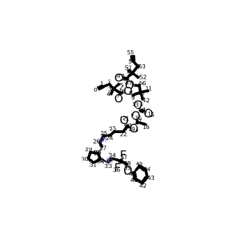 C#CCC(C)(C)C(=O)OCC(C)(COC(=O)OC(C)OC(=O)CCC/C=C\C[C@H]1CCC[C@@H]1/C=C/C(F)(F)COc1ccccc1)COC(=O)C(C)(C)CC#C